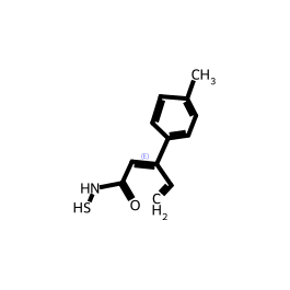 C=C/C(=C\C(=O)NS)c1ccc(C)cc1